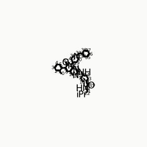 Cc1ccccc1-c1cc2cnc(NC3CCN(C(=O)NCC(C)C)CC3)nc2n(C2CCN(Cc3ccccc3)CC2)c1=O